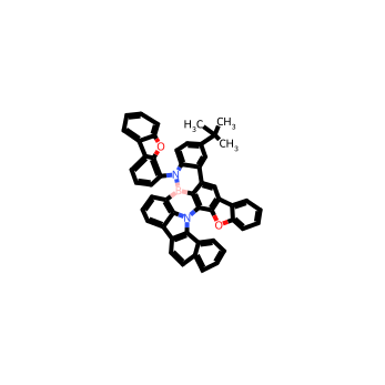 CC(C)(C)c1ccc2c(c1)-c1cc3c(oc4ccccc43)c3c1B(c1cccc4c5ccc6ccccc6c5n-3c14)N2c1cccc2c1oc1ccccc12